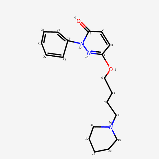 O=c1ccc(OCCCCN2CCCCC2)nn1-c1ccccc1